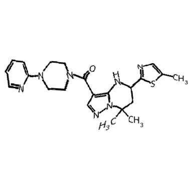 Cc1cnc(C2CC(C)(C)n3ncc(C(=O)N4CCN(c5ccccn5)CC4)c3N2)s1